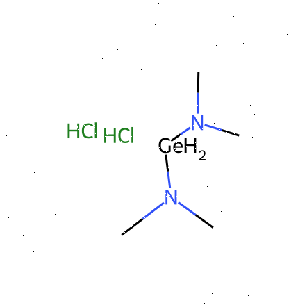 C[N](C)[GeH2][N](C)C.Cl.Cl